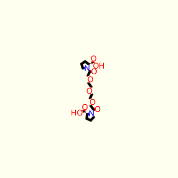 O=C(O)[C@H]1CCCN1C(=O)COCCOCCOCC(=O)N1CCC[C@@H]1C(=O)O